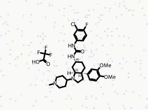 COc1ccc([C@@]23CC[C@@H](NC(=O)Nc4ccc(F)c(Cl)c4)C[C@@H]2N(C2CCN(C)CC2)CC3)cc1OC.O=C(O)C(F)(F)F